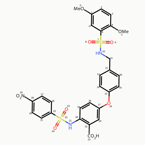 COc1ccc(OC)c(S(=O)(=O)NCc2ccc(Oc3ccc(NS(=O)(=O)c4ccc([N+](=O)[O-])cc4)c(C(=O)O)c3)cc2)c1